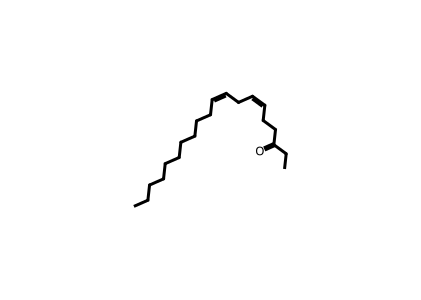 CCCCCCCCCC/C=C\C/C=C\CCC(=O)CC